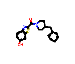 O=C(c1nc2ccc(O)cc2s1)N1CCC(Cc2ccccc2)CC1